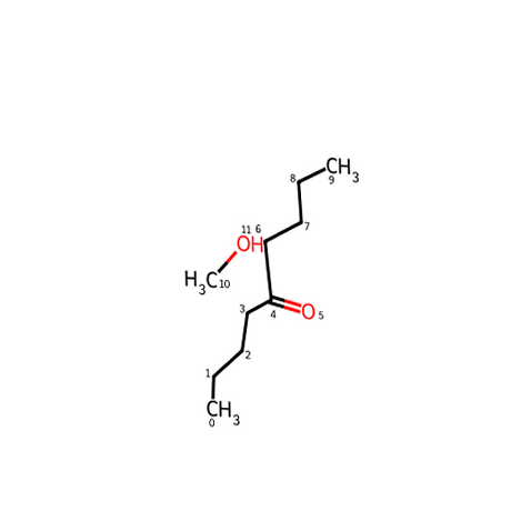 CCCCC(=O)CCCC.CO